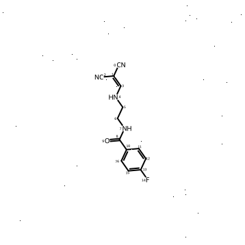 N#CC(C#N)=CNCCNC(=O)c1ccc(F)cc1